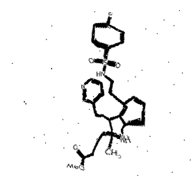 COC(=O)CCC1(C)Nc2cccc(CCNS(=O)(=O)c3ccc(F)cc3)c2C1Cc1cccnc1